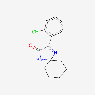 O=C1NC2(CCCCC2)N=C1c1ccccc1Cl